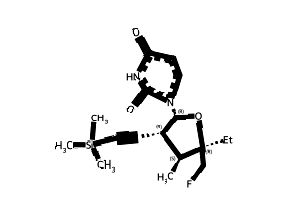 CC[C@@]1(CF)O[C@@H](n2ccc(=O)[nH]c2=O)[C@@H](C#C[Si](C)(C)C)[C@@H]1C